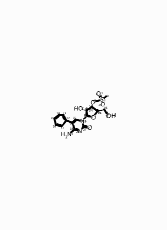 CS(=O)(=O)O[C@@H]1[C@@H](O)[C@H](n2cc(-c3ccccc3)c(N)nc2=O)O[C@@H]1CO